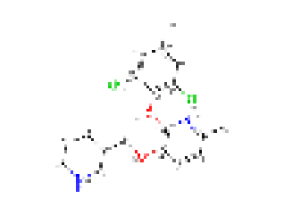 Cc1ccc(OCC2CCCNC2)c(Oc2c(Cl)cc(F)cc2Cl)n1